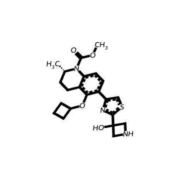 COC(=O)N1c2ccc(-c3csc(C4(O)CNC4)n3)c(OC3CCC3)c2CC[C@@H]1C